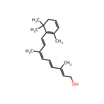 CC1=C(/C=C/C(C)=C\C=C\C(C)=C\CO)C(C)(C)CC=C1